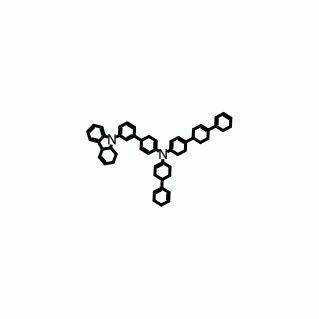 C1=CCCC(C2=CCC(C3=CC=C(N(C4=CCC(c5cccc(N6c7ccccc7C7C=CCCC76)c5)C=C4)C4=CCC(C5=CCCC=C5)CC4)CC3)CC2)=C1